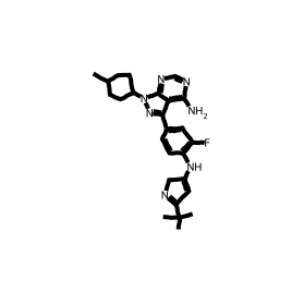 CC1CCC(n2nc(-c3ccc(NC4=CC(C(C)(C)C)=NC4)c(F)c3)c3c(N)ncnc32)CC1